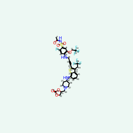 CC(=O)NS(=O)(=O)c1cc(OCC(F)(F)F)c(NCC#Cc2sc3c(NC4CCN(CC5COC(=O)O5)CC4)cccc3c2CC(F)(F)F)cc1F